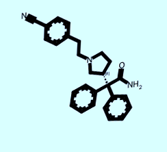 N#Cc1ccc(CCN2CC[C@H](C(C(N)=O)(c3ccccc3)c3ccccc3)C2)cc1